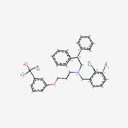 OC(c1cccc(OCCCN(Cc2cccc(C(F)(F)F)c2Cl)CC(c2ccccc2)c2ccccc2)c1)(C(F)(F)F)C(F)(F)F